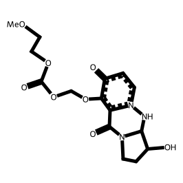 COCCOC(=O)OCOc1c2n(ccc1=O)NC1C(O)CCN1C2=O